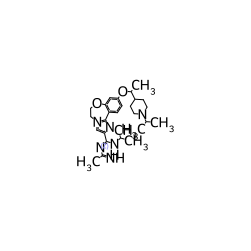 CC(=N)/N=C(\NC(C)C)c1cn2c(n1)-c1ccc(OC(C)C3CCN(C(C)C)CC3)cc1OCC2